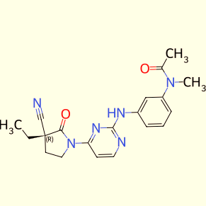 CC[C@]1(C#N)CCN(c2ccnc(Nc3cccc(N(C)C(C)=O)c3)n2)C1=O